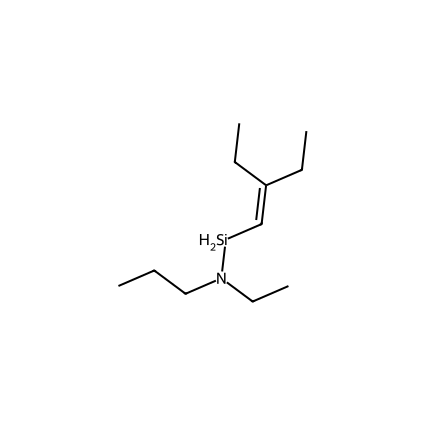 CCCN(CC)[SiH2]C=C(CC)CC